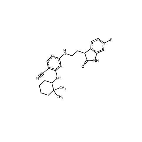 CC1(C)CCCCC1Nc1nc(NCCC2C(=O)Nc3cc(F)ccc32)ncc1C#N